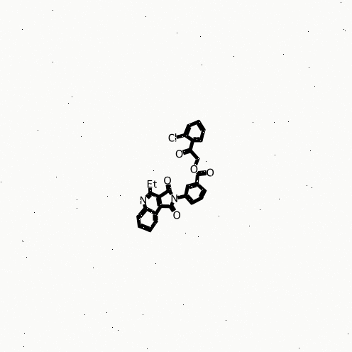 CCc1nc2ccccc2c2c1C(=O)N(c1cccc(C(=O)OCC(=O)c3ccccc3Cl)c1)C2=O